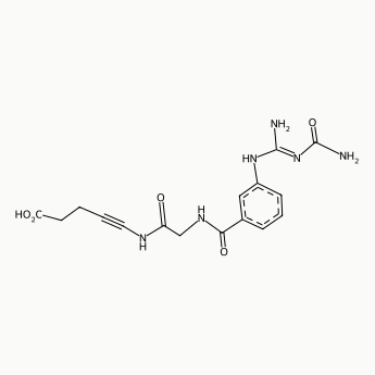 NC(=O)N=C(N)Nc1cccc(C(=O)NCC(=O)NC#CCCC(=O)O)c1